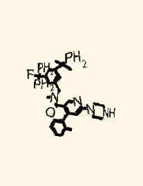 Cc1ccccc1-c1cc(N2CCNCC2)ncc1C(=O)N(C)Cc1cc(C(C)(C)P)cc(C(F)(P)P)c1